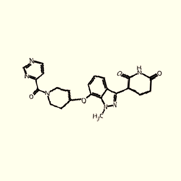 Cn1nc(C2CCC(=O)NC2=O)c2cccc(OC3CCN(C(=O)c4ccncn4)CC3)c21